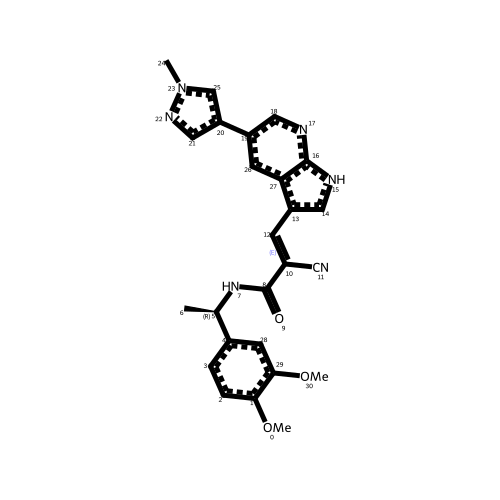 COc1ccc([C@@H](C)NC(=O)/C(C#N)=C/c2c[nH]c3ncc(-c4cnn(C)c4)cc23)cc1OC